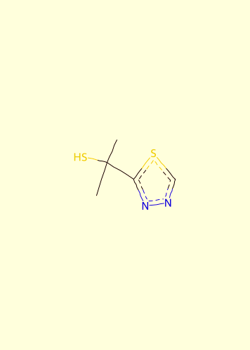 CC(C)(S)c1nncs1